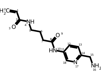 C=CC(=O)NCCCC(=O)Nc1ccc(CN)nc1